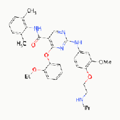 CCOc1ccccc1Oc1nc(Nc2ccc(OCCNC(C)C)c(OC)c2)ncc1C(=O)Nc1c(C)cccc1C